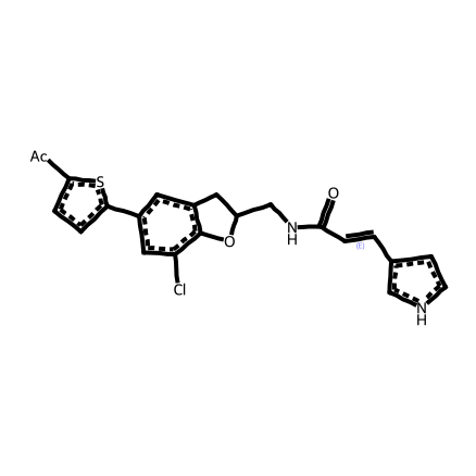 CC(=O)c1ccc(-c2cc(Cl)c3c(c2)CC(CNC(=O)/C=C/c2cc[nH]c2)O3)s1